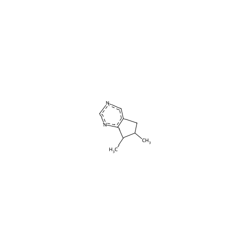 CC1Cc2cncnc2C1C